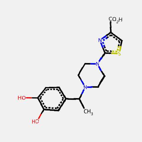 CC(c1ccc(O)c(O)c1)N1CCN(c2nc(C(=O)O)cs2)CC1